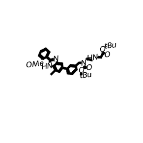 COc1ccccc1-c1nc2cc(-c3cccc(CN(CCNCC(=O)OC(C)(C)C)C(=O)OC(C)(C)C)c3)cc(C)c2[nH]1